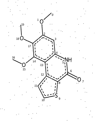 COc1cc2[nH]c(=O)c3sccc3c2c(OC)c1OC